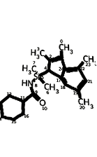 CC1=C(C)C([Si](C)(C)NC(=O)C2CCCCC2)c2cc(C)cc(C)c21